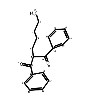 CCCCCC(C(=O)c1ccccc1)C(=O)c1ccccc1